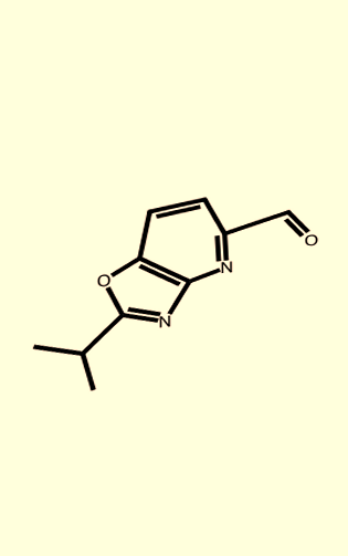 CC(C)c1nc2nc(C=O)ccc2o1